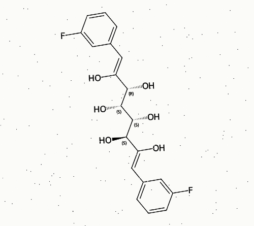 OC(=Cc1cccc(F)c1)[C@@H](O)[C@@H](O)[C@H](O)[C@@H](O)C(O)=Cc1cccc(F)c1